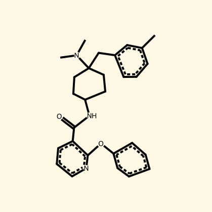 Cc1cccc(CC2(N(C)C)CCC(NC(=O)c3cccnc3Oc3ccccc3)CC2)c1